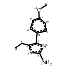 CCc1sc(N)nc1-c1ccc(OC)cc1